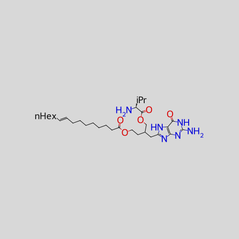 CCCCCCC=CCCCCCCCC(=O)OCCC(COC(=O)[C@@H](N)C(C)C)Cc1nc2nc(N)[nH]c(=O)c2[nH]1